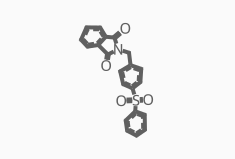 O=C1c2ccccc2C(=O)N1Cc1ccc(S(=O)(=O)c2ccccc2)cc1